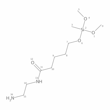 CO[Si](C)(OC)OCCCCC(=O)NCCN